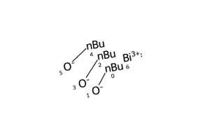 CCCC[O-].CCCC[O-].CCCC[O-].[Bi+3]